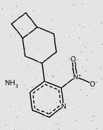 N.O=[N+]([O-])c1ncccc1C1CCC2CCC2C1